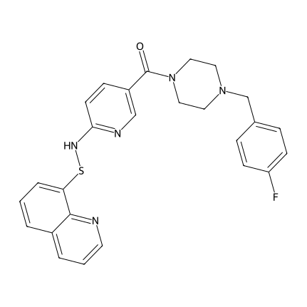 O=C(c1ccc(NSc2cccc3cccnc23)nc1)N1CCN(Cc2ccc(F)cc2)CC1